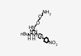 CCCCNC1N=C(NCCOCCOCCN)N=C(N2CCN(c3ccc([N+](=O)[O-])cc3)CC2)N1